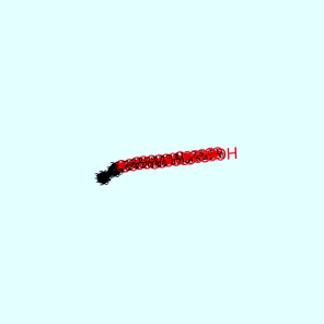 OOOOOOOOOOOOOOOOOOOOOOOOOOOOc1ccc(-c2ccccc2)cc1